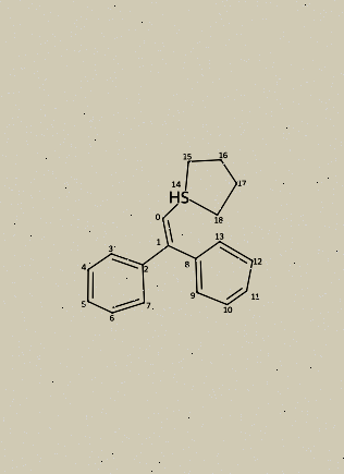 C(=C(c1ccccc1)c1ccccc1)[SH]1CCCC1